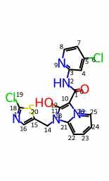 O=C(Nc1cc(Cl)ccn1)c1c(O)n(Cc2cnc(Cl)s2)c2cccc[n+]12